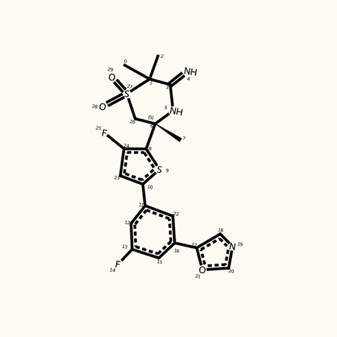 CC1(C)C(=N)N[C@](C)(c2sc(-c3cc(F)cc(-c4cnco4)c3)cc2F)CS1(=O)=O